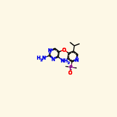 CC(C)c1cnc(P(C)(C)=O)cc1Oc1cnc(N)nc1N